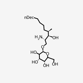 CCCCCCCCCCCCCC[C@@H](C)[C@@H](O)[C@@H](N)CO[C@H]1OC(CO)[C@H](O)[C@H](O)C1O